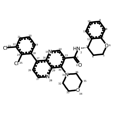 O=C(N[C@H]1CCOc2ccccc21)c1cnc2c(-c3cccc(Cl)c3Cl)ccnc2c1N1CCOCC1